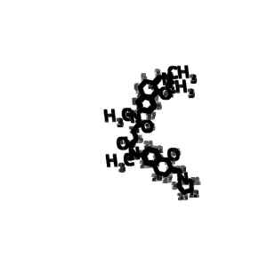 CN(C)C=C1CCc2cc(N(C)C(=O)CCC(=O)N(C)c3ccc4c(c3)CCC(=CN3CCCC3)C4=O)ccc2C1=O